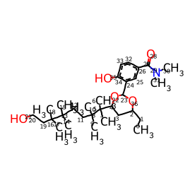 CCC1CC(C(C)(C)C(C)(C)CCC(C)(C)C(C)(C)CCO)OC(c2cc(C(=O)N(C)C)ccc2O)O1